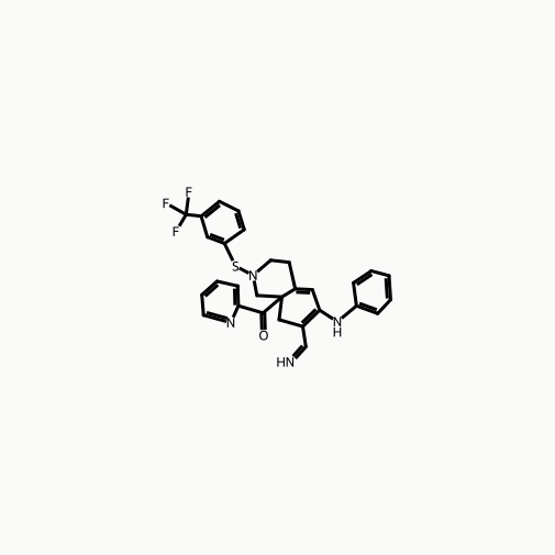 N=CC1=C(Nc2ccccc2)C=C2CCN(Sc3cccc(C(F)(F)F)c3)CC2(C(=O)c2ccccn2)C1